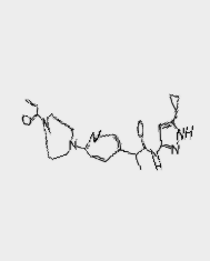 C=CC(=O)N1CCCN(c2ccc(C(C)C(=O)Nc3cc(C4CC4)[nH]n3)cn2)CC1